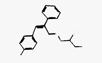 OC(CCl)COCC(=Cc1ccc(Cl)cc1)c1ccccc1